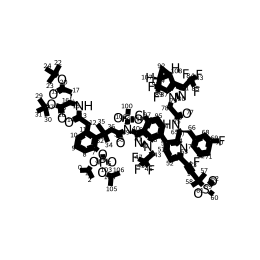 CC(C)OP(=O)(Oc1cccc(CC(=O)N[C@@H](CC(=O)OC(C)(C)C)C(=O)OC(C)(C)C)c1C(C)(C)CC(=O)N(c1nn(CC(F)(F)F)c2c(-c3ccc(C#CC(C)(C)S(C)(=O)=O)nc3[C@H](Cc3cc(F)cc(F)c3)NC(=O)Cn3nc(C(F)(F)F)c4c3C(F)(F)[C@@H]3C[C@H]43)ccc(Cl)c12)S(C)(=O)=O)OC(C)C